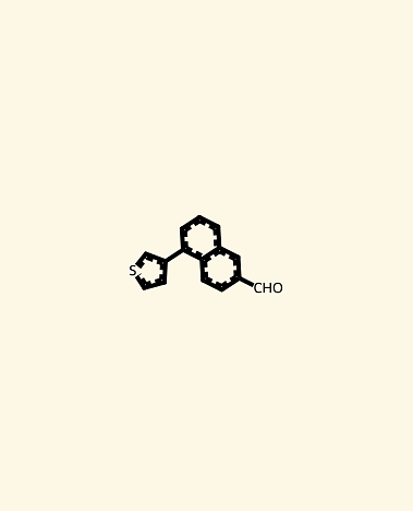 O=Cc1ccc2c(-c3ccsc3)cccc2c1